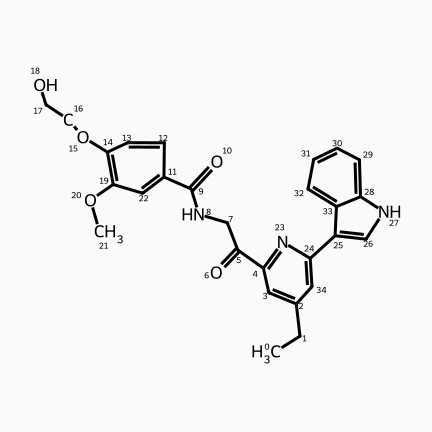 CCc1cc(C(=O)CNC(=O)c2ccc(OCCO)c(OC)c2)nc(-c2c[nH]c3ccccc23)c1